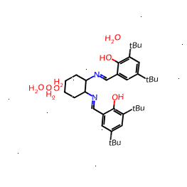 CC(C)(C)c1cc(C=NC2CCCCC2N=Cc2cc(C(C)(C)C)cc(C(C)(C)C)c2O)c(O)c(C(C)(C)C)c1.O.O.O.O